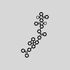 O=c1c2ccccc2n(-c2ccccc2)c2cc3c(=O)c4ccc(-c5cccc(N(c6ccccc6)c6ccc(-c7ccc8c(c7)C7(c9ccccc9-c9ccccc97)c7cc(-c9ccc(N(c%10ccccc%10)c%10ccccc%10)cc9)ccc7-8)cc6)c5)cc4n(-c4ccccc4)c3cc12